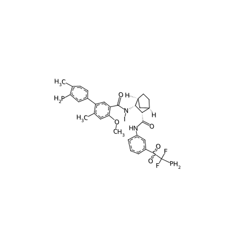 COc1cc(C)c(-c2ccc(C)c(P)c2)cc1C(=O)N(I)[C@@H]1[C@H]2CC[C@H](C2)[C@@H]1C(=O)Nc1cccc(S(=O)(=O)C(F)(F)P)c1